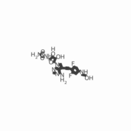 Nc1ncnc2c1c(C#Cc1c(F)cc(NCCO)cc1F)cn2[C@@H]1O[C@H](CNS(N)(=O)=O)[C@@H](O)[C@H]1O